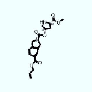 C=CCOC(=O)c1ccc2c(c1)CN(C(=O)O[C@H]1CN[C@H](C(=O)OC)C1)C2